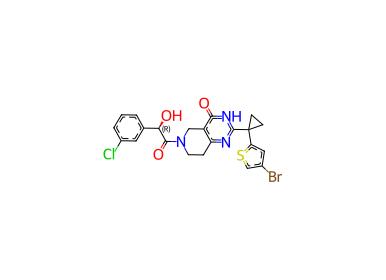 O=C([C@H](O)c1cccc(Cl)c1)N1CCc2nc(C3(c4cc(Br)cs4)CC3)[nH]c(=O)c2C1